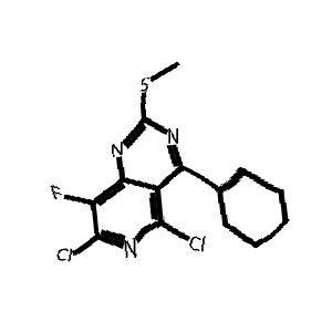 CSc1nc(C2CCCCC2)c2c(Cl)nc(Cl)c(F)c2n1